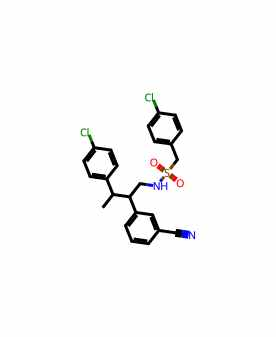 CC(c1ccc(Cl)cc1)C(CNS(=O)(=O)Cc1ccc(Cl)cc1)c1cccc(C#N)c1